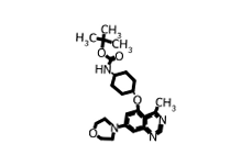 Cc1ncnc2cc(N3CCOCC3)cc(O[C@H]3CC[C@@H](NC(=O)OC(C)(C)C)CC3)c12